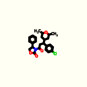 CC1CC(C(CC(=O)N2C(=O)OCC2c2ccccc2)c2ccc(Cl)cc2)CC(C)O1